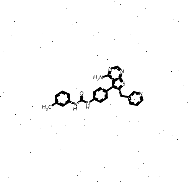 Cc1cccc(NC(=O)Nc2ccc(-c3c(Cc4cccnc4)sc4ncnc(N)c34)cc2)c1